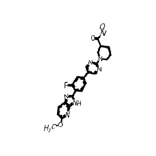 COc1ccc2nc(-c3ccc(-c4cnc(N5CCCC(C(=O)N=O)C5)nc4)cc3F)[nH]c2n1